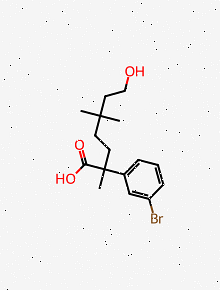 CC(C)(CCO)CCC(C)(C(=O)O)c1cccc(Br)c1